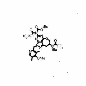 CCC(C)N(C(=O)C(F)(F)F)C1CSc2nc(N(C(=O)OC(C)(C)C)C(=O)OC(C)(C)C)nc3c2c(nn3Cc2ncc(C)c(OC)c2C)C1